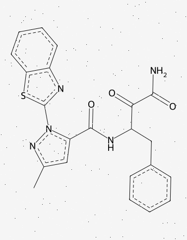 Cc1cc(C(=O)NC(Cc2ccccc2)C(=O)C(N)=O)n(-c2nc3ccccc3s2)n1